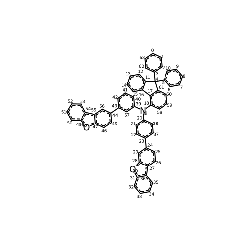 c1ccc(C2(c3ccccc3)c3ccccc3-c3c(N(c4ccc(-c5ccc6c(c5)oc5ccccc56)cc4)c4cccc(-c5ccc6oc7ccccc7c6c5)c4)cccc32)cc1